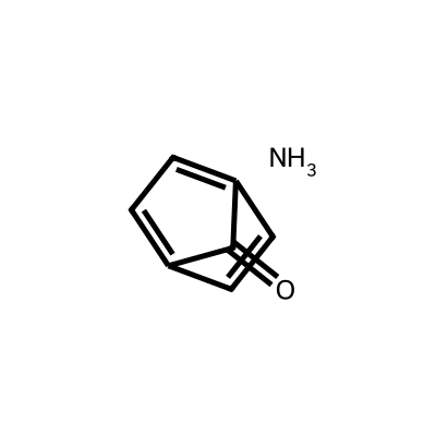 N.O=C1C2=CC=C1C=C2